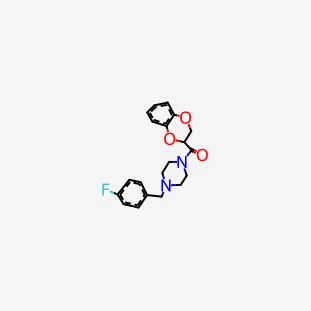 O=C(C1COc2ccccc2O1)N1CCN(Cc2ccc(F)cc2)CC1